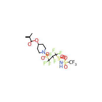 C=C(C)C(=O)OC1CCN(S(=O)(=O)C(F)(F)C(F)(F)C(F)(F)S(=O)(=O)NS(=O)(=O)C(F)(F)F)CC1